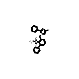 NS(=O)(=O)c1c(Cn2cc(Cl)nc2-c2ccccc2)cccc1-c1ccccc1